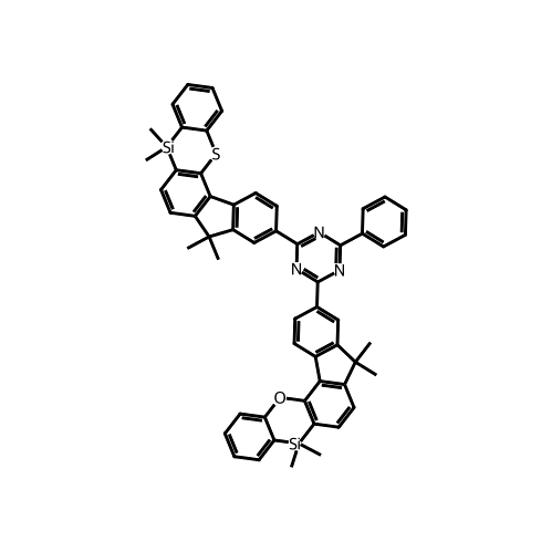 CC1(C)c2cc(-c3nc(-c4ccccc4)nc(-c4ccc5c(c4)C(C)(C)c4ccc6c(c4-5)Sc4ccccc4[Si]6(C)C)n3)ccc2-c2c1ccc1c2Oc2ccccc2[Si]1(C)C